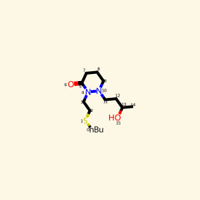 CCCCSCCN1C(=O)CCCN1CCC(C)O